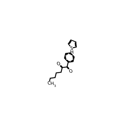 CCCCCC(=O)C(=O)c1ccc([SH]2C=CC=C2)cc1